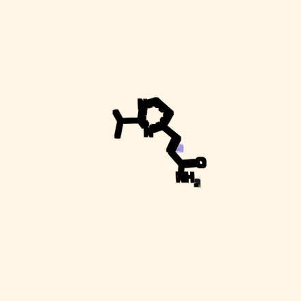 CC(C)c1nccc(/C=C/C(N)=O)n1